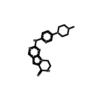 CN1CCN(c2ccc(Nc3ncc4cc5n(c4n3)CCNC5=O)nc2)CC1